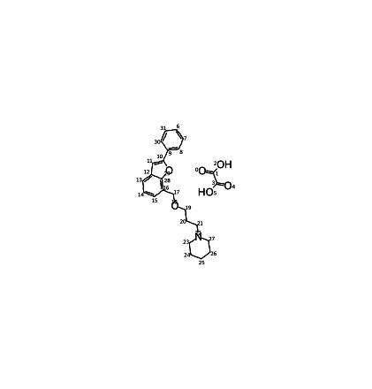 O=C(O)C(=O)O.c1ccc(-c2cc3cccc(COCCCN4CCCCC4)c3o2)cc1